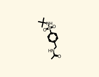 CC(=O)NCc1ccc(S(=O)(=O)NC(C)(C)C)cc1